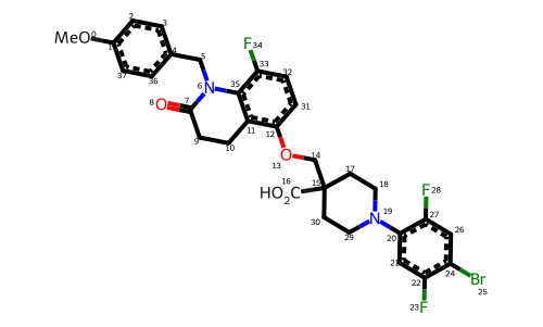 COc1ccc(CN2C(=O)CCc3c(OCC4(C(=O)O)CCN(c5cc(F)c(Br)cc5F)CC4)ccc(F)c32)cc1